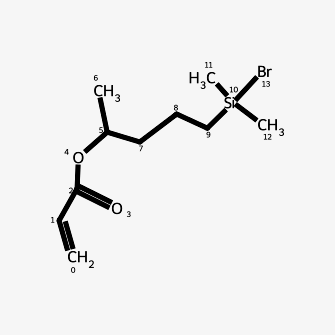 C=CC(=O)OC(C)CCC[Si](C)(C)Br